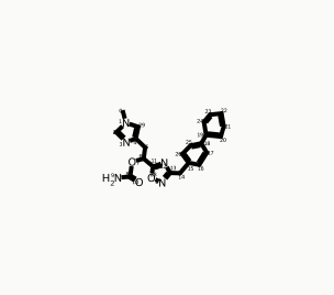 Cn1cnc(CC(OC(N)=O)c2nc(Cc3ccc(-c4ccccc4)cc3)no2)c1